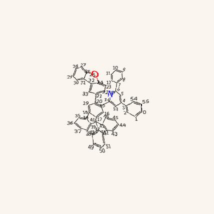 c1ccc(-c2cc(-c3ccccc3)nc(-c3cc4c(cc3-c3ccc5oc6ccccc6c5c3)-c3ccccc3C4(c3ccccc3)c3ccccc3)c2)cc1